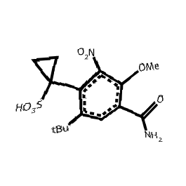 COc1c(C(N)=O)cc(C(C)(C)C)c(C2(S(=O)(=O)O)CC2)c1[N+](=O)[O-]